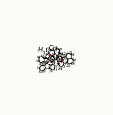 CC1(C)c2cccc(N(c3ccc(-c4cccc5cccc(-c6ccccc6)c45)cc3)c3cccc4c3C3(c5ccccc5-c5ccccc53)c3ccccc3-4)c2-c2c1ccc1ccccc21